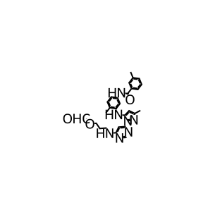 Cc1cccc(C(=O)Nc2ccc(C)c(Nc3cc(C)nn3-c3cc(NCCCOC=O)ncn3)c2)c1